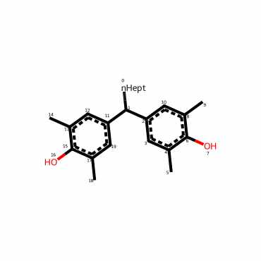 CCCCCCCC(c1cc(C)c(O)c(C)c1)c1cc(C)c(O)c(C)c1